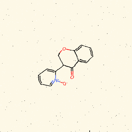 O=C1c2ccccc2OCC1c1cccc[n+]1[O-]